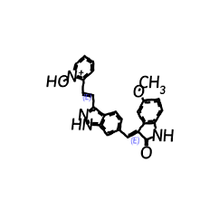 COc1ccc2c(c1)/C(=C\c1ccc3c(/C=C/c4cccc[n+]4O)n[nH]c3c1)C(=O)N2